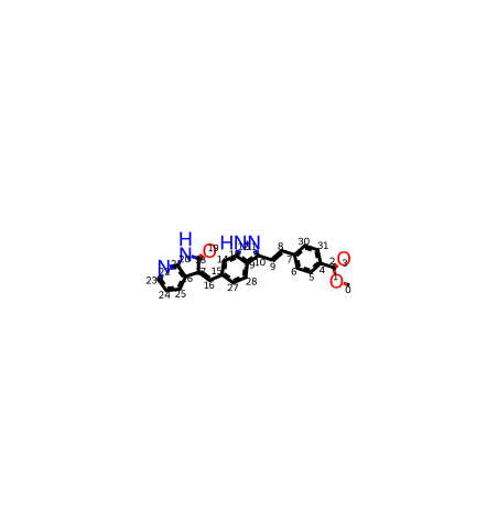 COC(=O)c1ccc(/C=C/c2n[nH]c3cc(C=C4C(=O)Nc5ncccc54)ccc23)cc1